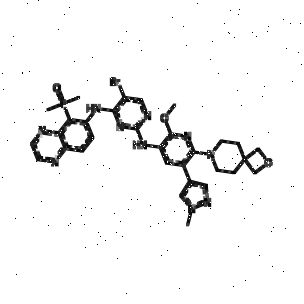 COc1nc(N2CCC3(CC2)COC3)c(-c2cnn(C)c2)cc1Nc1ncc(Br)c(Nc2ccc3nccnc3c2P(C)(C)=O)n1